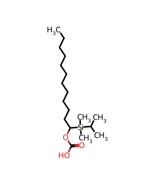 CCCCCCCCCCCC(OC(=O)O)[Si](C)(C)C(C)C